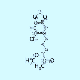 COC([CH]CCc1cc2c(cc1Cl)OCO2)C(C)=O